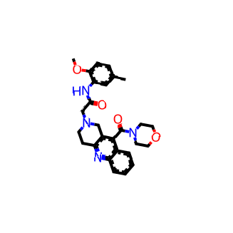 COc1ccc(C)cc1NC(=O)CN1CCc2nc3ccccc3c(C(=O)N3CCOCC3)c2C1